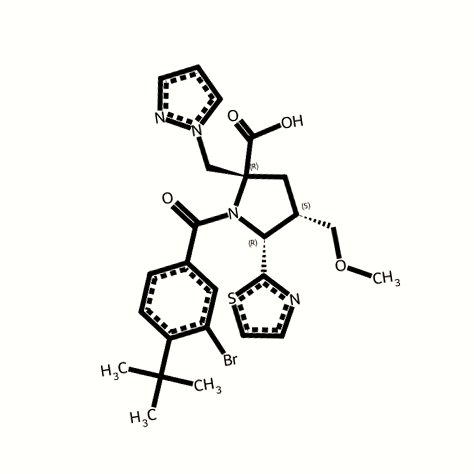 COC[C@H]1C[C@@](Cn2cccn2)(C(=O)O)N(C(=O)c2ccc(C(C)(C)C)c(Br)c2)[C@H]1c1nccs1